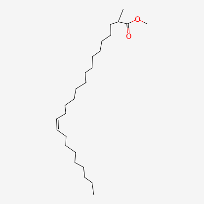 CCCCCCCC/C=C\CCCCCCCCCCCCC(C)C(=O)OC